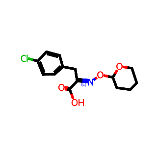 O=C(O)/C(Cc1ccc(Cl)cc1)=N/OC1CCCCO1